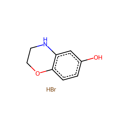 Br.Oc1ccc2c(c1)NCCO2